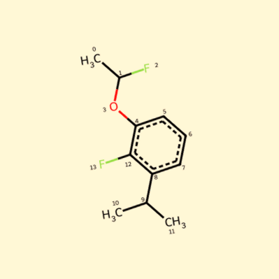 CC(F)Oc1cccc(C(C)C)c1F